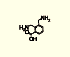 NCc1cccc(C(=O)O)c1CN